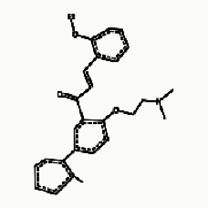 CCOc1ccccc1C=CC(=O)c1cc(-c2ccccc2C)ccc1OCCN(C)C